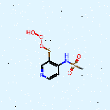 CS(=O)(=O)Nc1ccncc1SOOO